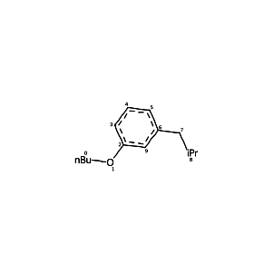 CCCCOc1cccc(CC(C)C)c1